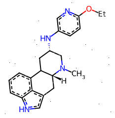 CCOc1ccc(N[C@H]2CC3c4cccc5[nH]cc(c45)C[C@H]3N(C)C2)cn1